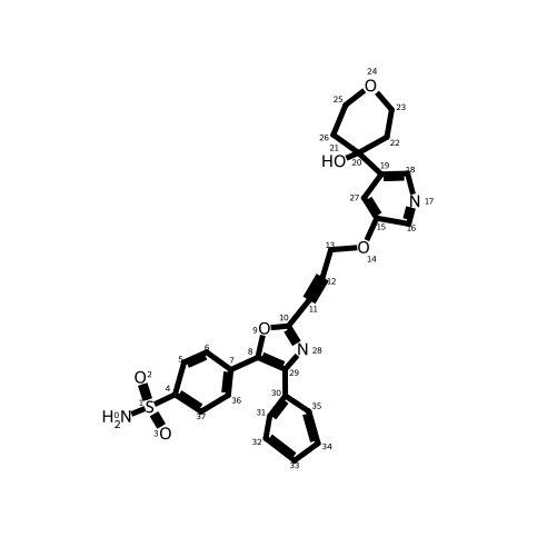 NS(=O)(=O)c1ccc(-c2oc(C#CCOc3cncc(C4(O)CCOCC4)c3)nc2-c2ccccc2)cc1